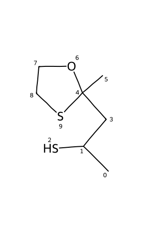 CC(S)CC1(C)OCCS1